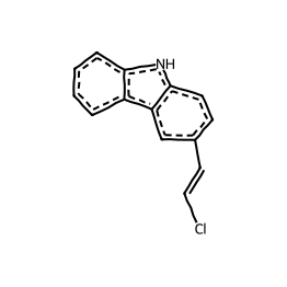 ClC=Cc1ccc2[nH]c3ccccc3c2c1